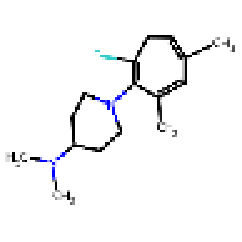 CC1=CCC(F)=C(N2CCC(N(C)C)CC2)C(C(F)(F)F)=C1